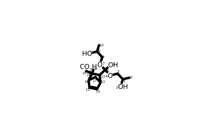 CC(O)COC(O)(OCC(C)O)C1C2C=CC(C2)C1(C)C(=O)O